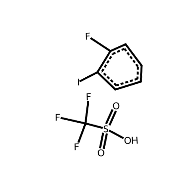 Fc1ccccc1I.O=S(=O)(O)C(F)(F)F